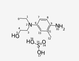 CCN(CCO)c1ccc(N)c(C)c1.O=S(O)O